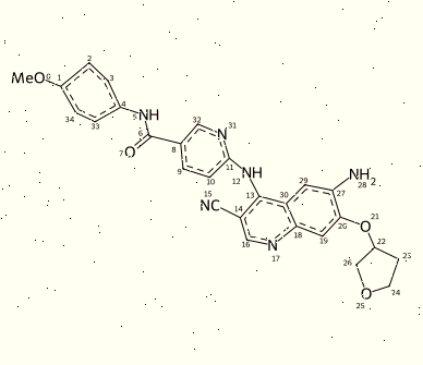 COc1ccc(NC(=O)c2ccc(Nc3c(C#N)cnc4cc(OC5CCOC5)c(N)cc34)nc2)cc1